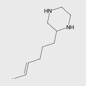 [CH2]C=CCCCC1CNCCN1